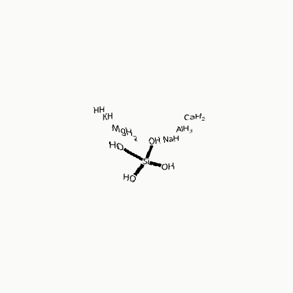 O[Si](O)(O)O.[AlH3].[CaH2].[HH].[KH].[MgH2].[NaH]